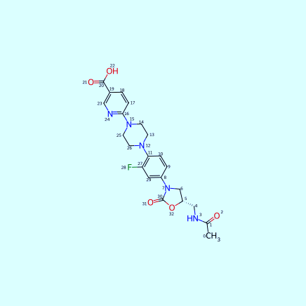 CC(=O)NC[C@H]1CN(c2ccc(N3CCN(c4ccc(C(=O)O)cn4)CC3)c(F)c2)C(=O)O1